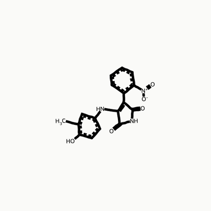 Cc1cc(NC2=C(c3ccccc3[N+](=O)[O-])C(=O)NC2=O)ccc1O